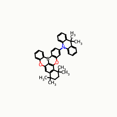 CC1(C)CCC(C)(C)c2c1cc1c3c2Oc2cc(N4c5ccccc5C(C)(C)c5ccccc54)ccc2B3c2ccccc2O1